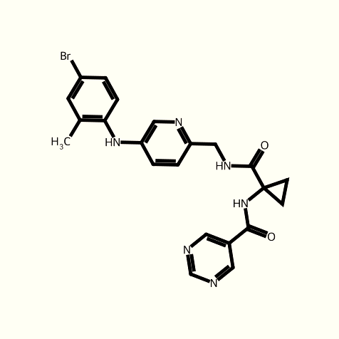 Cc1cc(Br)ccc1Nc1ccc(CNC(=O)C2(NC(=O)c3cncnc3)CC2)nc1